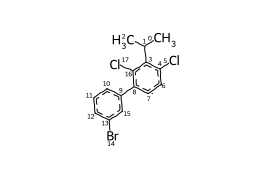 CC(C)c1c(Cl)c[c]c(-c2cccc(Br)c2)c1Cl